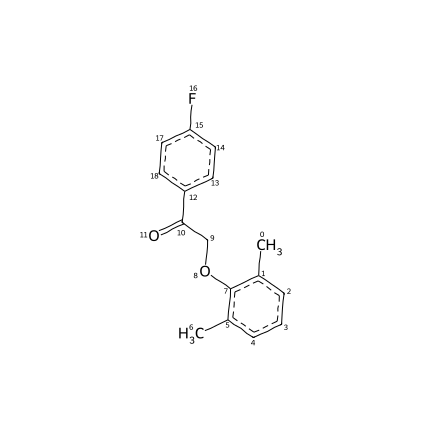 Cc1cccc(C)c1OCC(=O)c1ccc(F)cc1